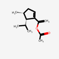 C=C(OC(C)=O)C1=CC[C@@H](C)[C@H]1C(C)C